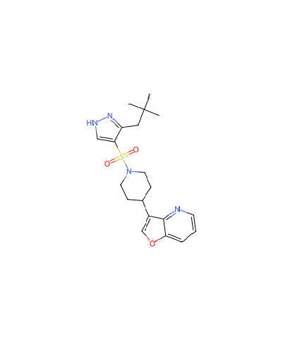 CC(C)(C)Cc1n[nH]cc1S(=O)(=O)N1CCC(c2coc3cccnc23)CC1